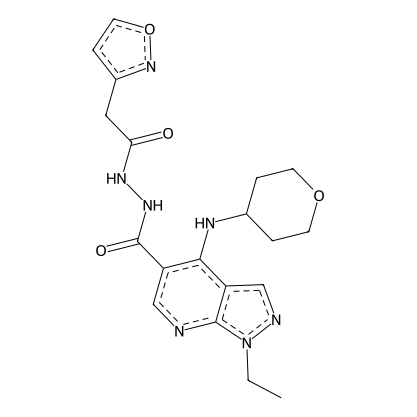 CCn1ncc2c(NC3CCOCC3)c(C(=O)NNC(=O)Cc3ccon3)cnc21